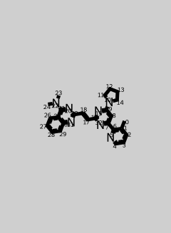 Cc1cccnc1-c1cc(N2CCCC2)nc(C=Cc2nc(N(C)C)c3ccccc3n2)n1